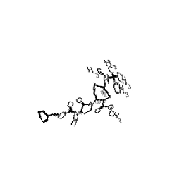 COC(=O)[C@@H]1C[C@H](N(C)C(C)(C)C)CC[C@@H]1N1CC[C@H](NC(=O)OCc2ccccc2)C1=O